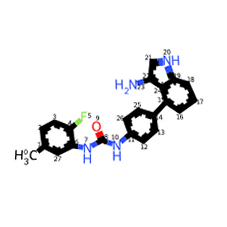 Cc1ccc(F)c(NC(=O)Nc2ccc(-c3cccc4[nH]cc(N)c34)cc2)c1